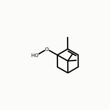 CC1=CCC2CC1(OO)C2(C)C